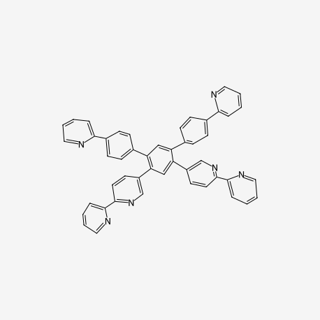 c1ccc(-c2ccc(-c3cc(-c4ccc(-c5ccccn5)cc4)c(-c4ccc(-c5ccccn5)nc4)cc3-c3ccc(-c4ccccn4)nc3)cc2)nc1